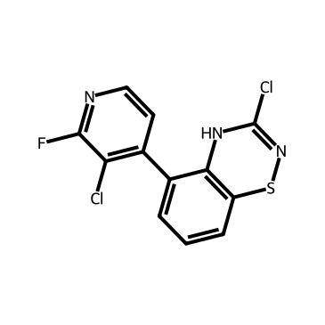 Fc1nccc(-c2cccc3c2NC(Cl)=NS3)c1Cl